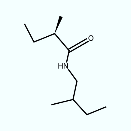 CCC(C)CNC(=O)[C@H](C)CC